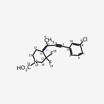 C/C(C#Cc1cccc(Cl)c1)=C1\CCN(C(=O)O)CC1(F)F